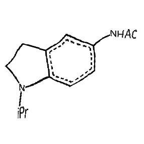 CC(=O)Nc1ccc2c(c1)CCN2C(C)C